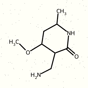 COC1CC(C)NC(=O)C1CN